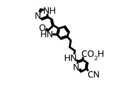 N#Cc1cnc(NCCCc2ccc3c(c2)NC(=O)/C3=C\c2cnc[nH]2)c(C(=O)O)c1